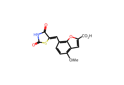 COc1ccc(/C=C2\SC(=O)NC2=O)c2oc(C(=O)O)cc12